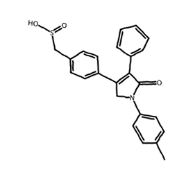 Cc1ccc(N2CC(c3ccc(CS(=O)O)cc3)=C(c3ccccc3)C2=O)cc1